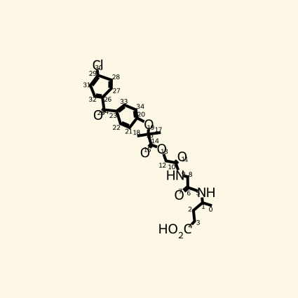 CC(CCC(=O)O)NC(=O)CNC(=O)COC(=O)C(C)(C)Oc1ccc(C(=O)c2ccc(Cl)cc2)cc1